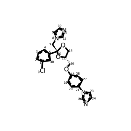 Clc1cccc([C@]2(Cn3ccnc3)OC[C@H](COc3ccc(-n4ccnc4)cc3)O2)c1